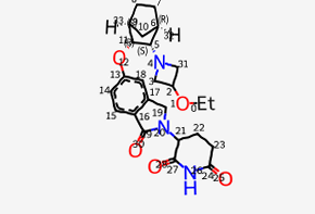 CCOC1CN([C@H]2[C@@H]3CC[C@@H](C3)[C@H]2Oc2ccc3c(c2)CN(C2CCC(=O)NC2=O)C3=O)C1